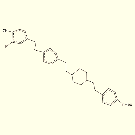 CCCCCCc1ccc(CCC2CCC(CCc3ccc(CCc4ccc(Cl)c(F)c4)cc3)CC2)cc1